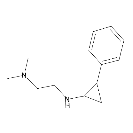 CN(C)CCNC1CC1c1ccccc1